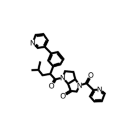 CC(C)CC(C(=O)N1CCC2C1C(=O)CN2C(=O)c1ccccn1)c1cccc(-c2cccnc2)c1